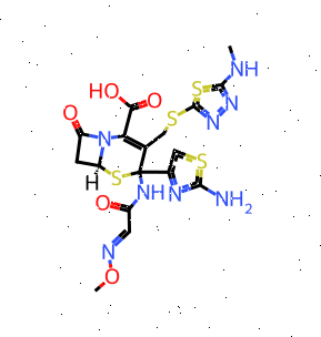 CNc1nnc(SCC2=C(C(=O)O)N3C(=O)C[C@@H]3SC2(NC(=O)C=NOC)c2csc(N)n2)s1